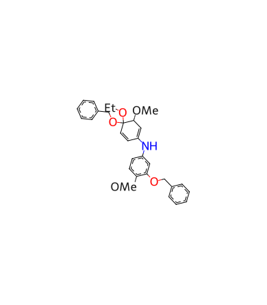 CCOC1(OCc2ccccc2)C=CC(Nc2ccc(OC)c(OCc3ccccc3)c2)=CC1OC